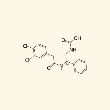 CN(C(=O)Cc1ccc(Cl)c(Cl)c1)[C@H](CNC(=O)O)c1ccccc1